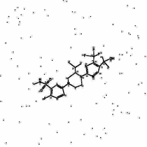 CNS(=O)(=O)c1cc(N2CCN(c3ncc(C(C)(C)O)c(C(F)(F)F)n3)C(C(C)C)C2)ccc1F